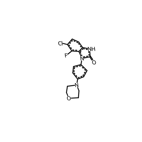 O=c1[nH]c2ccc(Cl)c(F)c2n1-c1ccc(N2CCOCC2)cc1